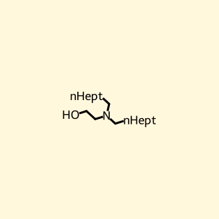 CCCCCCCCN(CCO)CCCCCCCC